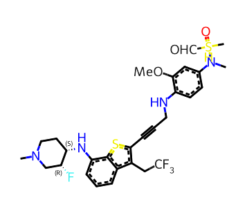 COc1cc(N(C)[SH](C)(=O)C=O)ccc1NCC#Cc1sc2c(N[C@H]3CCN(C)C[C@H]3F)cccc2c1CC(F)(F)F